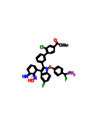 COC(=O)c1ccc(-c2cccc(-c3c(C4=CC=CC(=N)/C4=N\O)c4cc(F)ccc4n3Sc3ccc(C(F)P)cc3)c2)c(Cl)c1